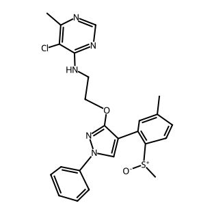 Cc1ccc([S+](C)[O-])c(-c2cn(-c3ccccc3)nc2OCCNc2ncnc(C)c2Cl)c1